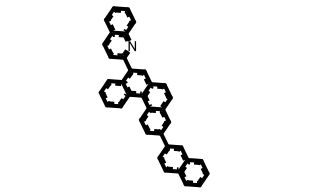 c1ccc2cc(-c3ccc4c(ccc5cc(-c6ccc7ccccc7n6)c6ccccc6c54)c3)ccc2c1